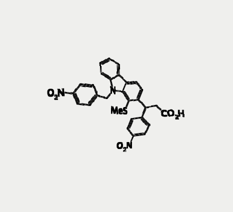 CSc1c(C(CC(=O)O)c2ccc([N+](=O)[O-])cc2)ccc2c3ccccc3n(Cc3ccc([N+](=O)[O-])cc3)c12